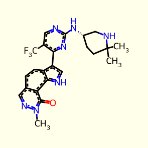 Cn1ncc2ccc3c(-c4nc(N[C@H]5CCC(C)(C)NC5)ncc4C(F)(F)F)c[nH]c3c2c1=O